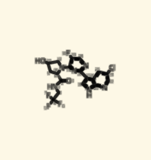 O=C(NCC(F)(F)F)[C@H]1CC(O)CN1c1nc(-c2c[nH]c3ncc(Cl)cc23)ncc1F